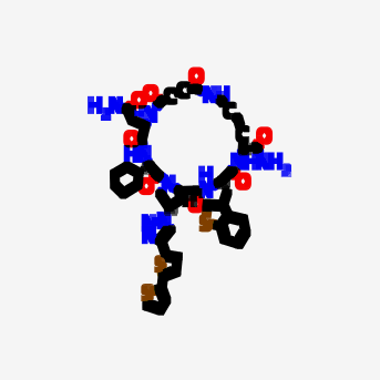 NC(=O)CC1NC(=O)CCC(=O)NCCCC[C@@H](C(N)=O)NC(=O)[C@H](Cc2csc3ccccc23)NC(=O)[C@@H]2C[C@H](n3cc(-c4ccc(-c5cccs5)s4)nn3)CN2C(=O)[C@H](C2CCCCC2)NC1=O